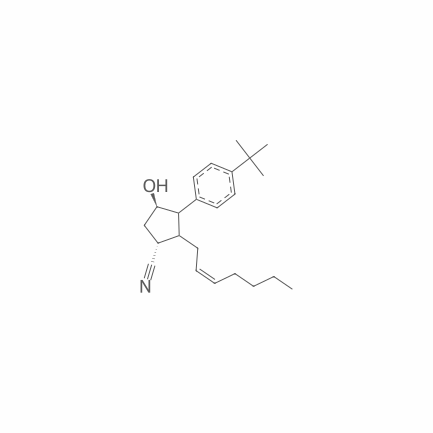 CCCC/C=C\CC1C(c2ccc(C(C)(C)C)cc2)[C@H](O)C[C@H]1C#N